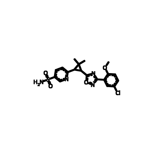 COc1ccc(Cl)cc1-c1noc(C2C(c3ccc(S(N)(=O)=O)cn3)C2(C)C)n1